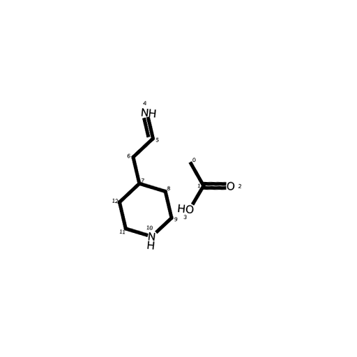 CC(=O)O.N=CCC1CCNCC1